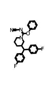 N#CN=C(Oc1ccccc1)N1CCCC(C(c2ccc(F)cc2)c2ccc(F)cc2)C1